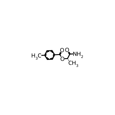 Cc1ccc(C(=O)O[C@@H](C)C(N)=O)cc1